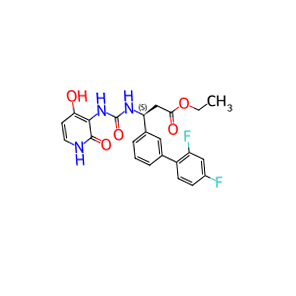 CCOC(=O)C[C@H](NC(=O)Nc1c(O)cc[nH]c1=O)c1cccc(-c2ccc(F)cc2F)c1